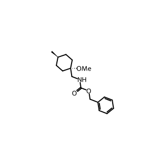 CO[C@]1(CNC(=O)OCc2ccccc2)CC[C@@H](C)CC1